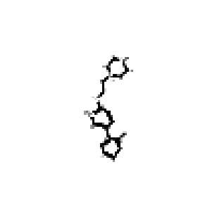 Cc1ccccc1-c1ccc(OCCN2CCOCC2)nc1